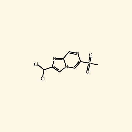 CS(=O)(=O)c1cn2cc(C(Cl)Cl)nc2cn1